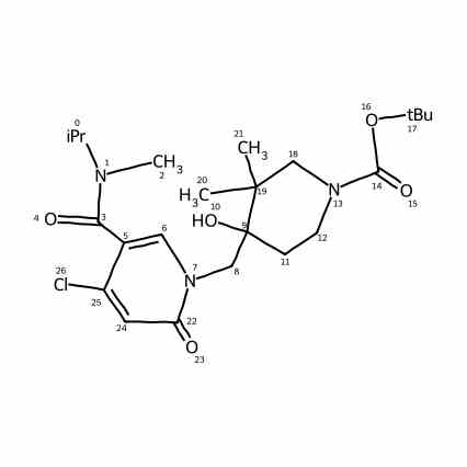 CC(C)N(C)C(=O)c1cn(CC2(O)CCN(C(=O)OC(C)(C)C)CC2(C)C)c(=O)cc1Cl